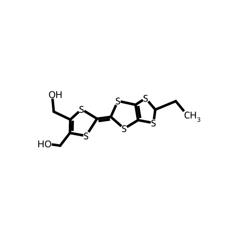 CCC1SC2=C(SC(=C3SC(CO)=C(CO)S3)S2)S1